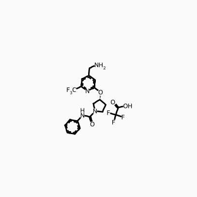 NCc1cc(O[C@@H]2CCN(C(=O)Nc3ccccc3)C2)nc(C(F)(F)F)c1.O=C(O)C(F)(F)F